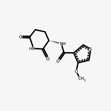 COc1cscc1C(=O)N[C@H]1CCC(=O)NC1=O